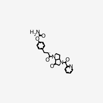 NC(=O)Oc1ccc(C[CH]C(=O)N2CCC3C2C(=O)CN3C(=O)c2ccccn2)cc1